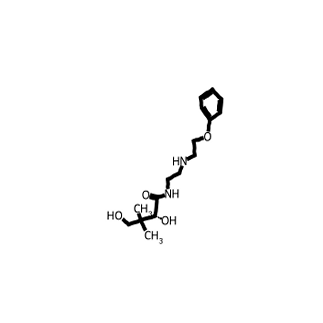 CC(C)(CO)[C@@H](O)C(=O)NCCNCCOc1ccccc1